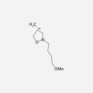 COCCCCN1C[C@@H](C)CO1